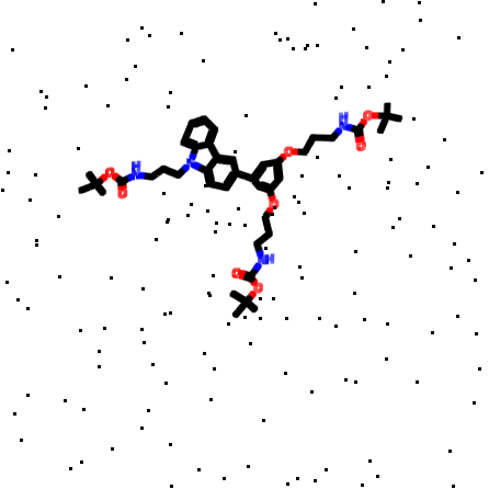 CC(C)(C)OC(=O)NCCCOc1cc(OCCCNC(=O)OC(C)(C)C)cc(-c2ccc3c(c2)c2ccccc2n3CCCNC(=O)OC(C)(C)C)c1